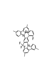 Cc1ccc2c(c1)c1cc(C)ccc1n2-c1cc(C(F)(F)F)c(-n2c3ccc(C)cc3c3cc(C)ccc32)cc1-c1c(F)cccc1F